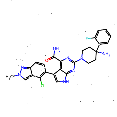 Cn1cc2c(Cl)c(-c3c[nH]c4nc(N5CCC(N)(c6ccccc6F)CC5)nc(C(N)=O)c34)ccc2n1